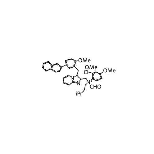 COc1ccc(-c2ccc3ccccc3c2)cc1CC1C(C[N+](C=O)(CCC(C)C)c2ccc(OC)c(OC)c2Cl)N=C2C=CC=CN21